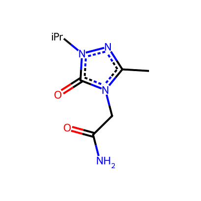 Cc1nn(C(C)C)c(=O)n1CC(N)=O